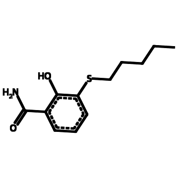 CCCCCSc1cccc(C(N)=O)c1O